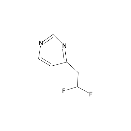 FC(F)Cc1ccncn1